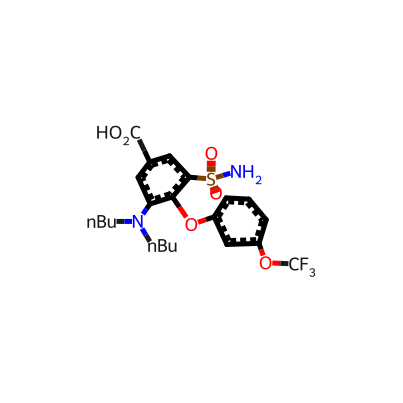 CCCCN(CCCC)c1cc(C(=O)O)cc(S(N)(=O)=O)c1Oc1cccc(OC(F)(F)F)c1